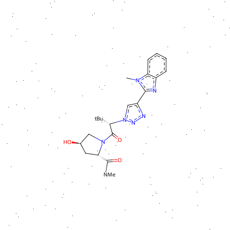 CNC(=O)[C@@H]1C[C@@H](O)CN1C(=O)[C@@H](n1cc(-c2nc3ccccc3n2C)nn1)C(C)(C)C